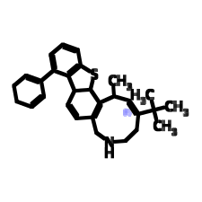 CC1/C=C(/C(C)(C)C)CCNCC2=C1C1Sc3cccc(C4=CCCC=C4)c3C1C=C2